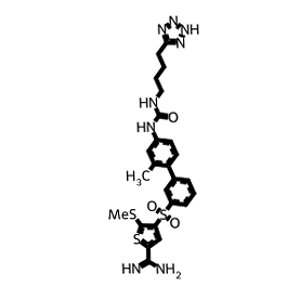 CSc1sc(C(=N)N)cc1S(=O)(=O)c1cccc(-c2ccc(NC(=O)NCCCCc3nn[nH]n3)cc2C)c1